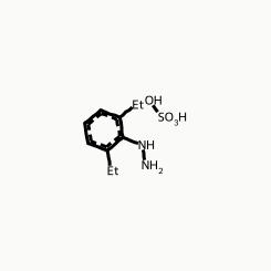 CCc1cccc(CC)c1NN.O=S(=O)(O)O